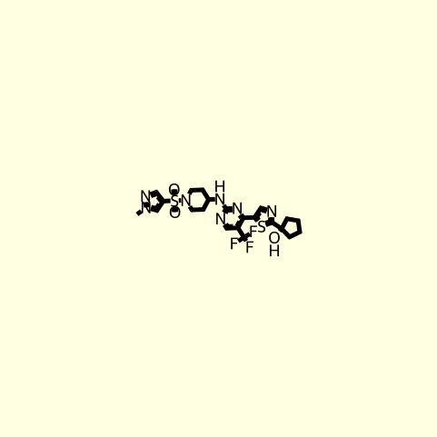 Cn1cc(S(=O)(=O)N2CCC(Nc3ncc(C(F)(F)F)c(-c4cnc(C5(O)CCCC5)s4)n3)CC2)cn1